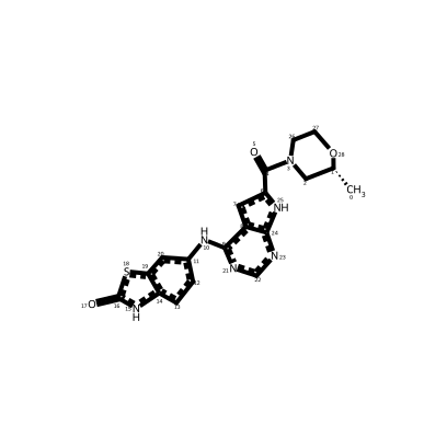 C[C@@H]1CN(C(=O)c2cc3c(Nc4ccc5[nH]c(=O)sc5c4)ncnc3[nH]2)CCO1